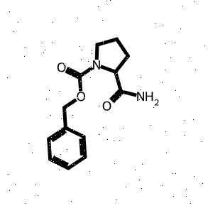 NC(=O)C1CCCN1C(=O)OCc1ccccc1